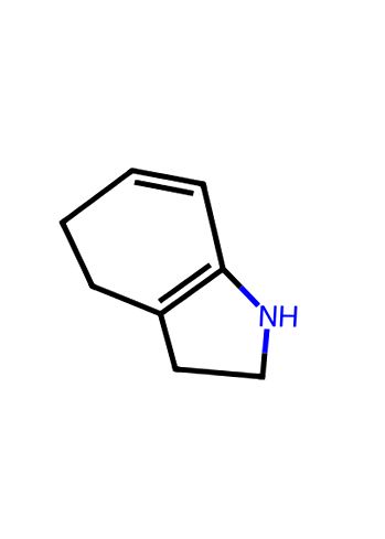 C1=CC2=C(CC1)CCN2